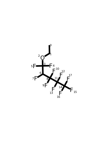 CCOC(F)(F)C(F)C(F)(F)C(F)(F)C(F)(F)F